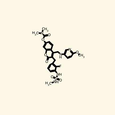 CNS(=O)(=O)Nc1cccc(Cc2c(CNc3ccc(OC)nc3)c3ccc(OC(=O)N(C)C)cc3oc2=O)c1F